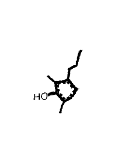 CCCc1[c]cc(C)c(O)c1C